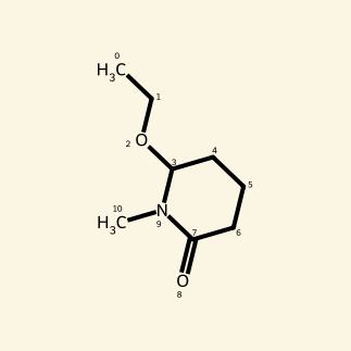 CCOC1CCCC(=O)N1C